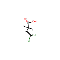 CC(C)(C=C(Cl)Cl)C(=O)O